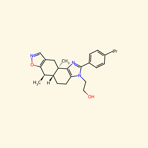 CC(C)c1ccc(-c2nc3c(n2CCO)CC[C@@H]2[C@@H](C)c4oncc4C[C@@]32C)cc1